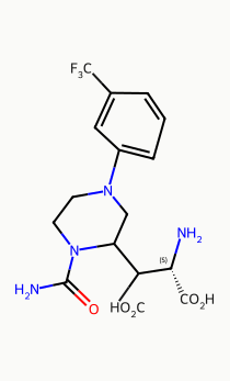 NC(=O)N1CCN(c2cccc(C(F)(F)F)c2)CC1C(C(=O)O)[C@H](N)C(=O)O